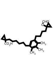 Cc1c(CCCCCCC2(C(=O)O)CC2)cc(CCCCC2(OC=O)CC2)c(C)c1C